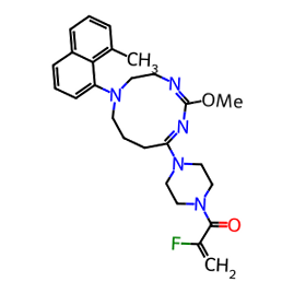 C=C(F)C(=O)N1CCN(/C2=N/C(OC)=N\CCN(c3cccc4cccc(C)c34)CCC2)CC1